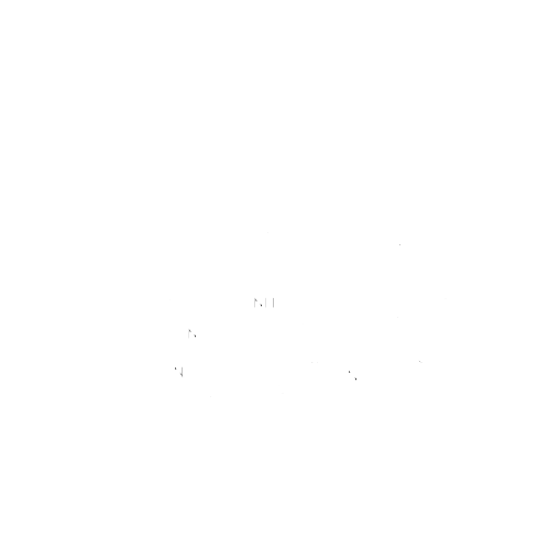 O=C(NC1C2CC3CC(C2)CC1C3)Oc1cnn(-c2ccccc2)c1NCc1ccccc1